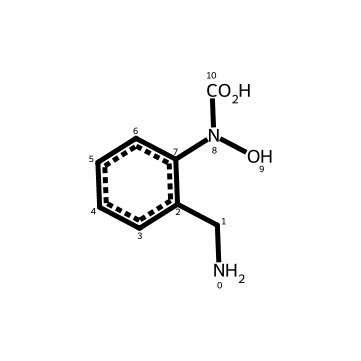 NCc1ccccc1N(O)C(=O)O